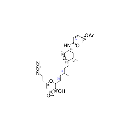 CC(=O)O[C@@H](C)/C=C\C(=O)N[C@@H]1C[C@H](C)[C@H](C/C=C(C)/C=C/C2O[C@@H](CCN=[N+]=[N-])C[C@@]3(CO3)[C@@H]2O)O[C@@H]1C